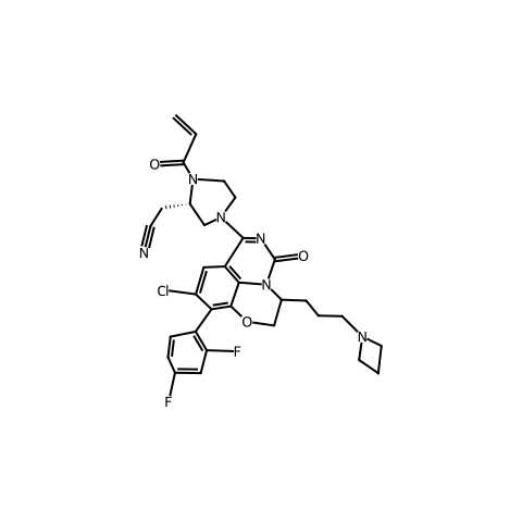 C=CC(=O)N1CCN(c2nc(=O)n3c4c(c(-c5ccc(F)cc5F)c(Cl)cc24)OCC3CCCN2CCC2)C[C@@H]1CC#N